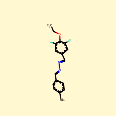 CCCCc1ccc(C=NN=Cc2cc(F)c(OCC(F)(F)F)c(F)c2)cc1